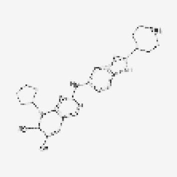 N#CC1=Cc2cnc(Nc3ccc4[nH]c(C5CCNCC5)cc4c3)nc2N(C2CCCC2)C1O